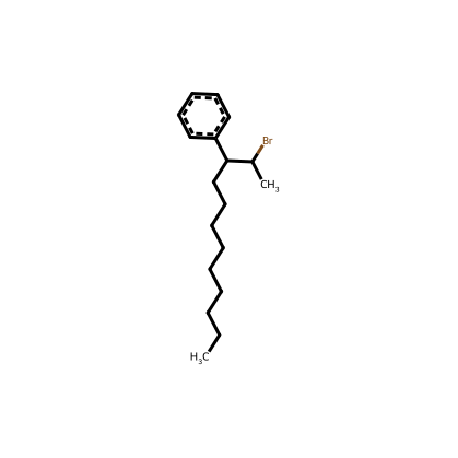 CCCCCCCCCC(c1ccccc1)C(C)Br